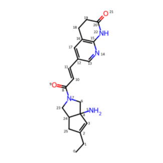 CCC1=CC2(N)CN(C(=O)/C=C/c3cnc4c(c3)CCC(=O)N4)CC2C1